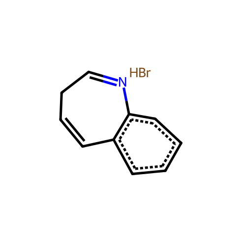 Br.C1=Cc2ccccc2N=CC1